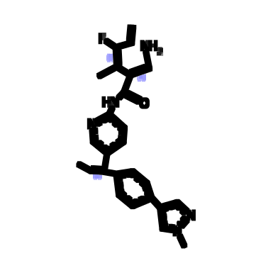 C=C/C(F)=C(C)\C(=C/N)C(=O)Nc1ccc(/C(=C\C)c2ccc(-c3cnn(C)c3)cc2)cn1